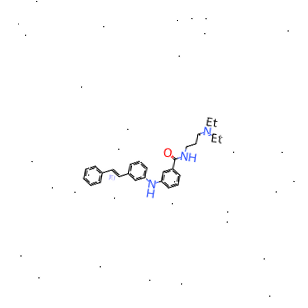 CCN(CC)CCCNC(=O)c1cccc(Nc2cccc(/C=C/c3ccccc3)c2)c1